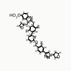 O=C(O)c1ccc2nc(Cc3cc(F)c(-c4cccc(OCc5ccc(-c6cn([C@@H]7CCOC7)nn6)cc5F)n4)cc3F)n(C[C@@H]3CCO3)c2c1